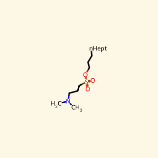 CCCCCCCCCCOS(=O)(=O)CCCN(C)C